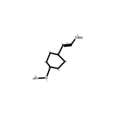 CCCOC1CCC(/C=C/OC)CC1